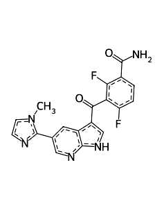 Cn1ccnc1-c1cnc2[nH]cc(C(=O)c3c(F)ccc(C(N)=O)c3F)c2c1